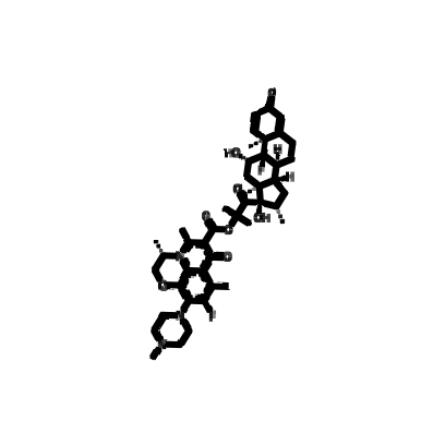 Cc1c(F)c(N2CCN(C)CC2)c2c3c1c(=O)c(C(=O)OC(C)(C)C(=O)[C@@]1(O)[C@@H](C)C[C@H]4[C@@H]5CCC6=CC(=O)C=C[C@]6(C)[C@@]5(F)[C@@H](O)C[C@@]41C)c(C)n3[C@@H](C)CO2